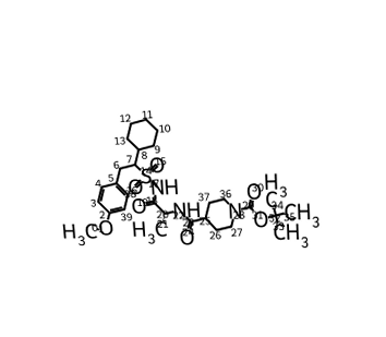 COc1ccc(CC(C2CCCCC2)S(=O)(=O)NC(=O)[C@@H](C)NC(=O)C2CCN(C(=O)OC(C)(C)C)CC2)cc1